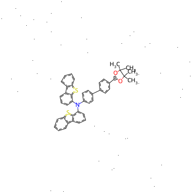 CC1(C)OB(c2ccc(-c3ccc(N(c4cccc5c4sc4ccccc45)c4cccc5c4sc4ccccc45)cc3)cc2)OC1(C)C